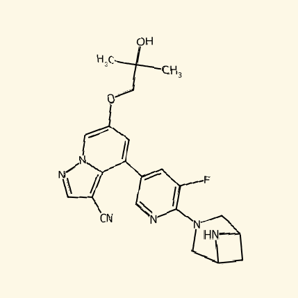 CC(C)(O)COc1cc(-c2cnc(N3CC4CC(C3)N4)c(F)c2)c2c(C#N)cnn2c1